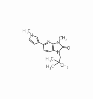 Cn1ccc(-c2ccc3c(n2)n(C)c(=O)n3CC(C)(C)C)c1